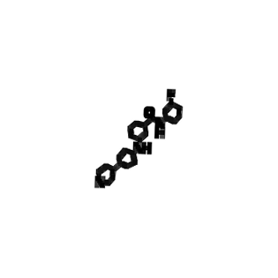 O=C(Nc1cccc(F)c1)c1cccc(Nc2ccc(-c3ccncc3)cc2)c1